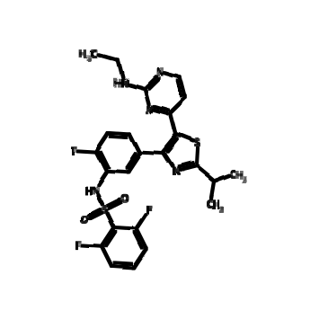 CCNc1nccc(-c2sc(C(C)C)nc2-c2ccc(F)c(NS(=O)(=O)c3c(F)cccc3F)c2)n1